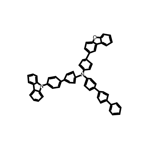 c1ccc(-c2ccc(-c3ccc(N(c4ccc(-c5ccc(-n6c7ccccc7c7ccccc76)cc5)cc4)c4ccc(-c5ccc6oc7ccccc7c6c5)cc4)cc3)cc2)cc1